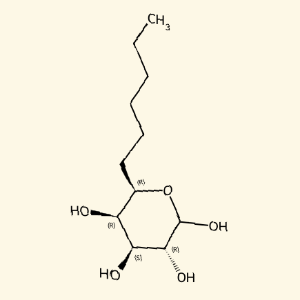 CCCCCC[C@H]1OC(O)[C@H](O)[C@@H](O)[C@H]1O